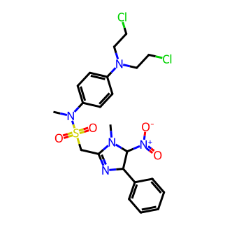 CN1C(CS(=O)(=O)N(C)c2ccc(N(CCCl)CCCl)cc2)=NC(c2ccccc2)C1[N+](=O)[O-]